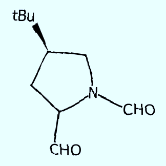 CC(C)(C)[C@@H]1CC(C=O)N(C=O)C1